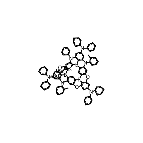 Cc1ccccc1N1c2cc3c(cc2B2c4sc(C(C)(C)C)cc4Oc4cc(N(c5ccccc5)c5ccccc5)cc1c42)B1c2cc4c(cc2Oc2cc(N(c5ccccc5)c5ccccc5)cc(c21)O3)N(c1ccccc1C)c1cc(N(c2ccccc2)c2ccccc2)cc2c1B4c1sc(C(C)(C)C)cc1N2c1ccccc1